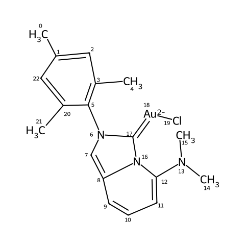 Cc1cc(C)c(-n2cc3cccc(N(C)C)n3[c]2=[Au-2][Cl])c(C)c1